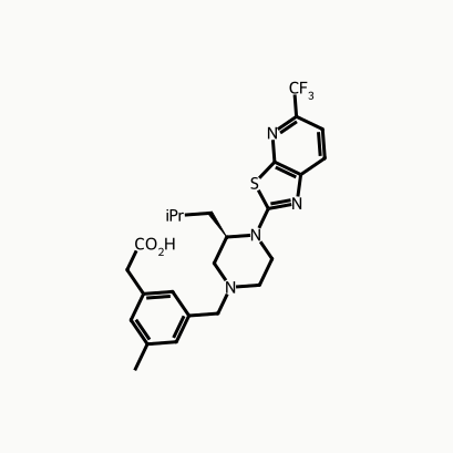 Cc1cc(CC(=O)O)cc(CN2CCN(c3nc4ccc(C(F)(F)F)nc4s3)[C@H](CC(C)C)C2)c1